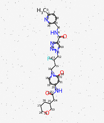 Cc1ccc(CNC(=O)c2cn(CC(F)CCn3ccc(NC(=O)CC4CCCOC4)cc3=O)nn2)cn1